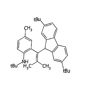 CC(C)=C(c1cc(C)ccc1NC(C)(C)C)C1c2cc(C(C)(C)C)ccc2-c2ccc(C(C)(C)C)cc21